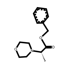 C[C@@H](C(=O)OCc1ccccc1)N1CCOCC1